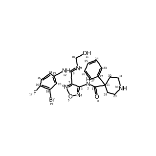 O=C(Nc1nonc1/C(=N/CO)Nc1ccc(F)c(Br)c1)C1(c2ccccc2)CCNCC1